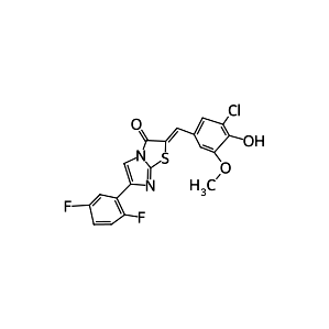 COc1cc(/C=c2\sc3nc(-c4cc(F)ccc4F)cn3c2=O)cc(Cl)c1O